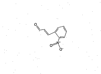 O=[C]C=Cc1ccccc1[N+](=O)[O-]